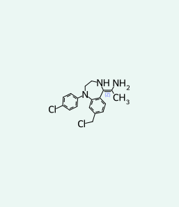 C/C(N)=C1/NCCN(c2ccc(Cl)cc2)c2cc(CCl)ccc21